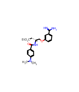 CCOC(=O)C[C@H](COc1cccc(C(=N)N)c1)NC(=O)c1ccc(N(C)C)cc1